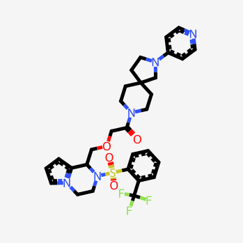 O=C(COCC1c2cccn2CCN1S(=O)(=O)c1ccccc1C(F)(F)F)N1CCC2(CC1)CCN(c1ccncc1)C2